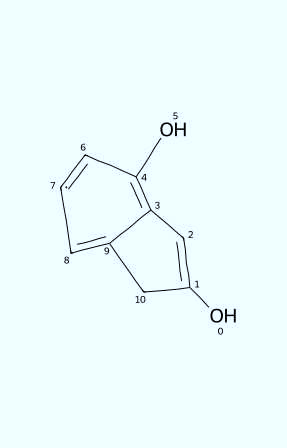 OC1=Cc2c(O)c[c]cc2C1